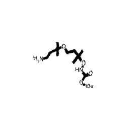 CC(C)(C)OC(=O)NOC(C)(C)CCOC(C)(C)CCN